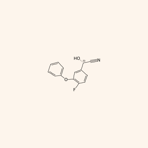 N#C[C@@H](O)c1ccc(F)c(Oc2ccccc2)c1